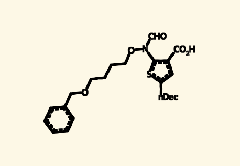 CCCCCCCCCCc1cc(C(=O)O)c(N(C=O)OCCCCOCc2ccccc2)s1